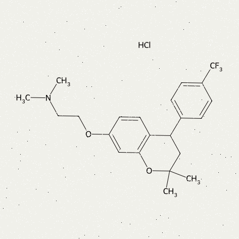 CN(C)CCOc1ccc2c(c1)OC(C)(C)CC2c1ccc(C(F)(F)F)cc1.Cl